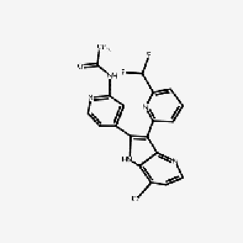 CC(=O)Nc1cc(-c2[nH]c3c(Cl)ccnc3c2-c2cccc(C(F)F)n2)ccn1